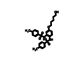 Cc1ccc(S(=O)(=O)Nc2ccc(OCCCCCO)cc2NS(=O)(=O)c2ccc(C)cc2)cc1